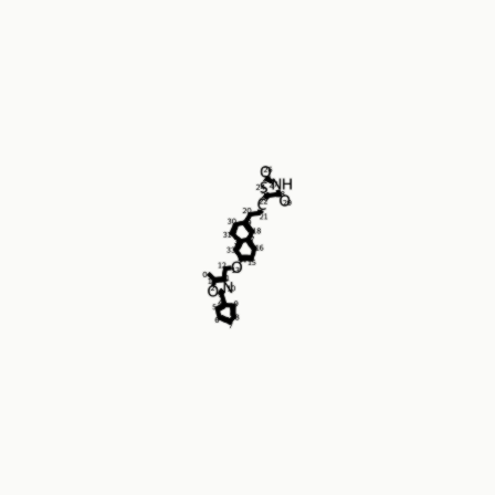 Cc1oc(-c2ccccc2)nc1COc1ccc2cc(CC=C=C3SC(=O)NC3=O)ccc2c1